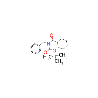 CC(C)(C)OC(=O)N(Cc1ccccc1)C(=O)C1CCCCC1